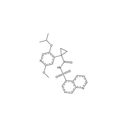 COc1cc(C2(C(=O)NS(=O)(=O)c3cccc4ncccc34)CC2)c(OC(C)C)cn1